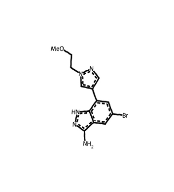 COCCn1cc(-c2cc(Br)cc3c(N)n[nH]c23)cn1